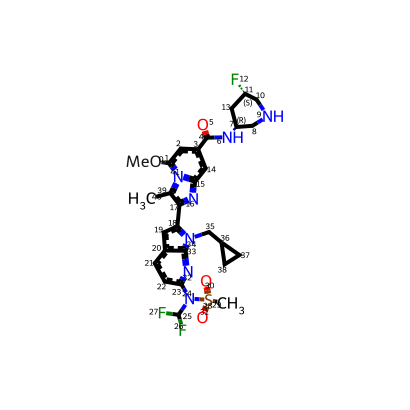 COc1cc(C(=O)N[C@H]2CNC[C@@H](F)C2)cc2nc(-c3cc4ccc(N(C(F)F)S(C)(=O)=O)nc4n3CC3CC3)c(C)n12